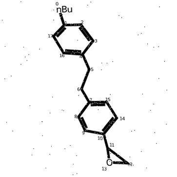 CCCCc1ccc(CCc2ccc(C3CO3)cc2)cc1